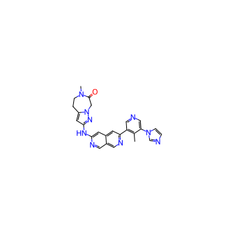 Cc1c(-c2cc3cc(Nc4cc5n(n4)CC(=O)N(C)CC5)ncc3cn2)cncc1-n1ccnc1